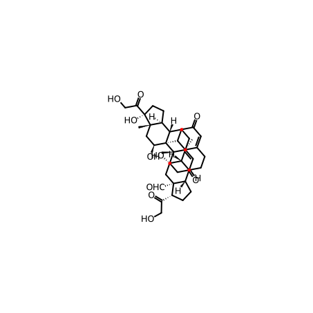 C[C@]12CCC(=O)C=C1CC[C@H]1[C@@H]3CC[C@](O)(C(=O)CO)[C@@]3(C)C[C@H](O)[C@@]12C1CC(=O)C=C2CC[C@@H]3[C@H]([C@@H](O)C[C@]4(C=O)[C@@H](C(=O)CO)CC[C@@H]34)[C@]21C